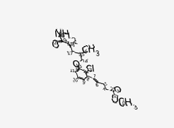 COC(=O)CCC#Cc1cccc(OC[C@@H](C)CCC(N)=O)c1Cl